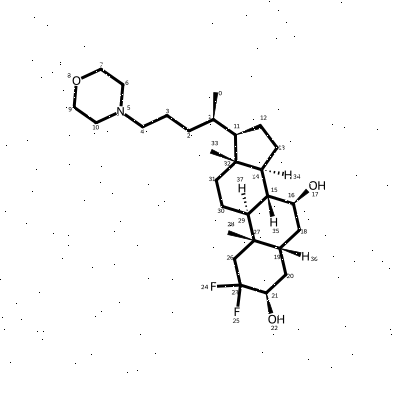 C[C@H](CCCN1CCOCC1)[C@H]1CC[C@H]2[C@@H]3[C@@H](O)C[C@@H]4C[C@@H](O)C(F)(F)C[C@]4(C)[C@H]3CC[C@]12C